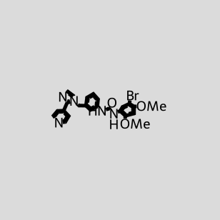 COc1cc(OC)c(NC(=O)Nc2cccc(Cn3ccnc3-c3ccncc3)c2)cc1Br